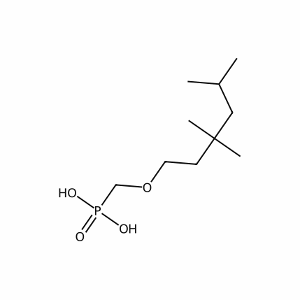 CC(C)CC(C)(C)CCOCP(=O)(O)O